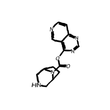 O=C(Oc1ncnc2ccncc12)N1C2CCC1CNC2